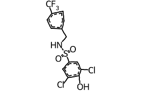 O=S(=O)(NCc1ccc(C(F)(F)F)cc1)c1cc(Cl)c(O)c(Cl)c1